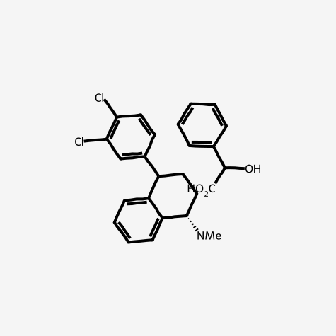 CN[C@H]1CCC(c2ccc(Cl)c(Cl)c2)c2ccccc21.O=C(O)C(O)c1ccccc1